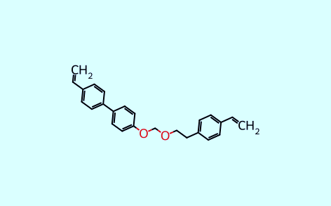 C=Cc1ccc(CCOCOc2ccc(-c3ccc(C=C)cc3)cc2)cc1